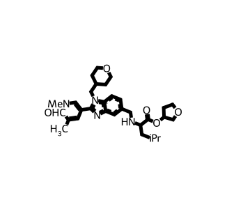 CN/C=C(\C=C(\C)C=O)c1nc2cc(CNC(CC(C)C)C(=O)OC3CCOC3)ccc2n1CC1CCOCC1